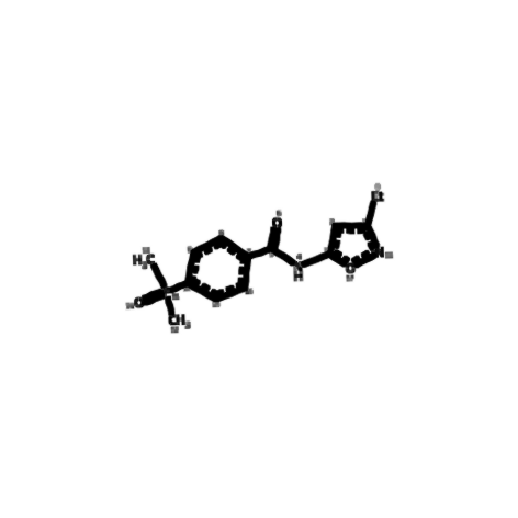 CCc1cc(NC(=O)c2ccc(P(C)(C)=O)cc2)on1